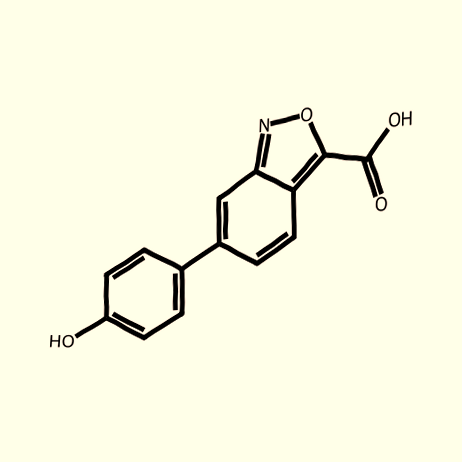 O=C(O)c1onc2cc(-c3ccc(O)cc3)ccc12